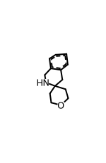 c1ccc2c(c1)CNC1(CCOCC1)C2